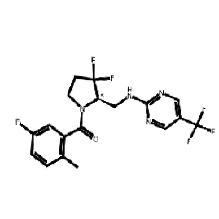 Cc1ccc(F)cc1C(=O)N1CCC(F)(F)[C@H]1CNc1ncc(C(F)(F)F)cn1